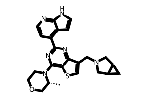 C[C@@H]1COCCN1c1nc(-c2ccnc3[nH]ccc23)nc2c(CN3CC4CC4C3)csc12